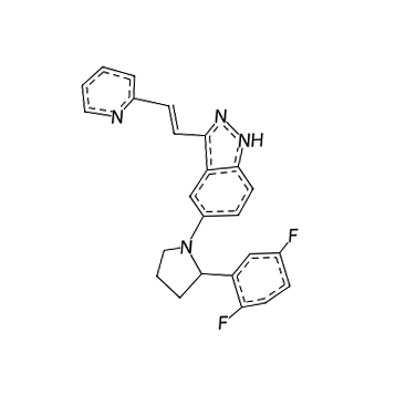 Fc1ccc(F)c(C2CCCN2c2ccc3[nH]nc(/C=C/c4ccccn4)c3c2)c1